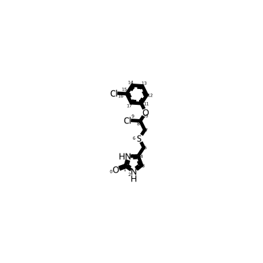 O=c1[nH]cc(CSCC(Cl)Oc2cccc(Cl)c2)[nH]1